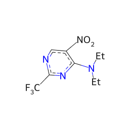 CCN(CC)c1nc(C(F)(F)F)ncc1[N+](=O)[O-]